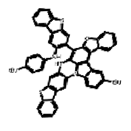 CC(C)(C)c1ccc(Nc2cc3c(cc2-c2c4c5c(c6cc(C(C)(C)C)ccc6n5-c5cc6c(cc5B4)sc4ccccc46)c4c2oc2ccccc24)sc2ccccc23)cc1